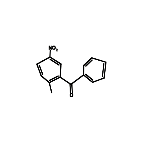 Cc1ccc([N+](=O)[O-])cc1C(=O)c1ccccc1